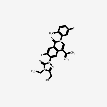 C=C(C)c1cn(-c2cc(F)ccc2C)c(=O)c2cc(F)c(-n3nc(CO)n(CC)c3=O)cc12